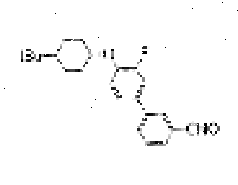 CC(C)(C)[C@H]1CC[C@H](Oc2ccc(-c3cccc(C=O)c3)cc2F)CC1